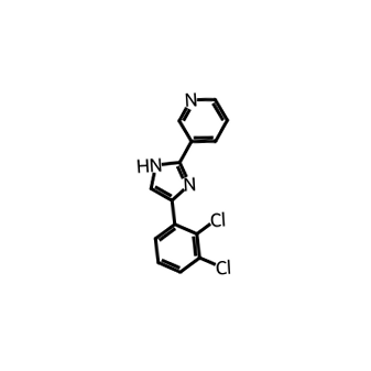 Clc1cccc(-c2c[nH]c(-c3cccnc3)n2)c1Cl